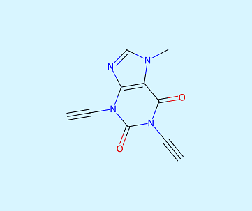 C#Cn1c(=O)c2c(ncn2C)n(C#C)c1=O